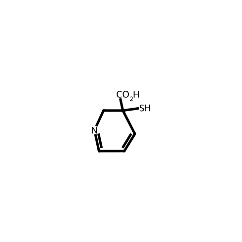 O=C(O)C1(S)C=CC=NC1